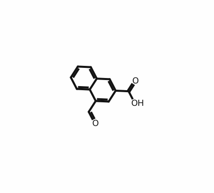 O=Cc1cc(C(=O)O)cc2ccccc12